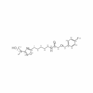 CN(C(=O)O)c1noc(CCCCCNC(=O)COCc2ccc(F)cc2)n1